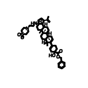 C=C(C)[C@@H]1CC[C@]2(NCCN3CCS(=O)(=O)CC3)CC[C@]3(C)[C@H](CC[C@@H]4[C@@]5(C)CC=C(C6=CCC(O)(C(=O)OCc7ccccc7)CC6)C(C)(C)[C@@H]5CC[C@]43C)[C@@H]12